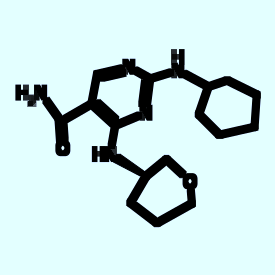 NC(=O)c1cnc(NC2CCCCC2)nc1N[C@@H]1CCCOC1